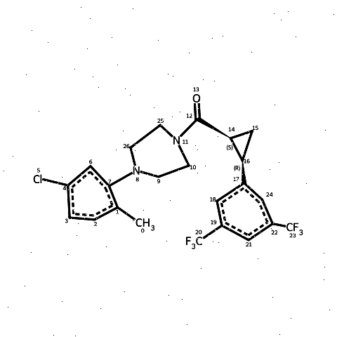 Cc1ccc(Cl)cc1N1CCN(C(=O)[C@H]2C[C@H]2c2cc(C(F)(F)F)cc(C(F)(F)F)c2)CC1